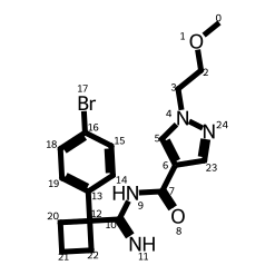 COCCn1cc(C(=O)NC(=N)C2(c3ccc(Br)cc3)CCC2)cn1